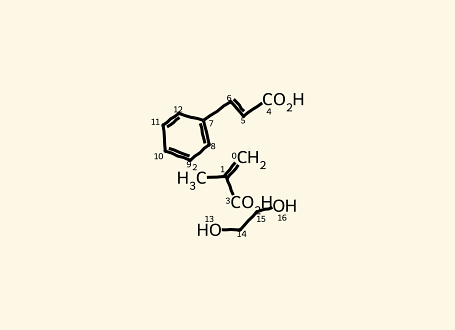 C=C(C)C(=O)O.O=C(O)C=Cc1ccccc1.OCCO